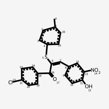 Cc1ccc(SC(=Cc2ccc(O)c([N+](=O)[O-])c2)C(=O)c2ccc(Cl)cc2)cc1